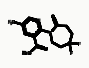 COC(=O)c1cc(C(F)(F)F)cnc1N1CCC(F)(F)CCC1=O